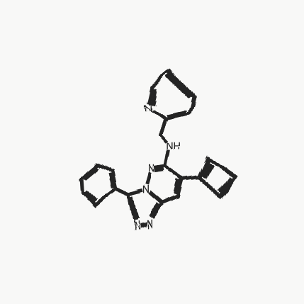 C1=CC(c2cc3nnc(-c4ccccc4)n3nc2NCc2ccccn2)=C1